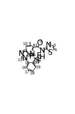 O=C(Nc1nccs1)c1ccc2ncn(-c3ccccc3C(F)(F)F)c2n1